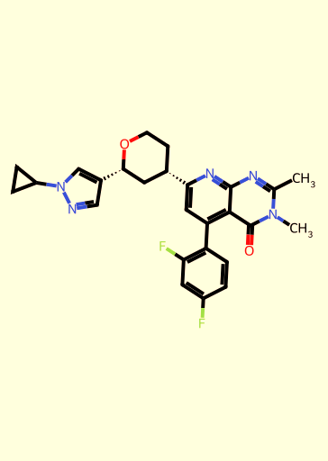 Cc1nc2nc([C@H]3CCO[C@@H](c4cnn(C5CC5)c4)C3)cc(-c3ccc(F)cc3F)c2c(=O)n1C